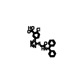 O=C(CSc1nnnn1-c1ccc(Cl)c(C(=O)O)c1)NC(c1ccccc1)c1ccccc1